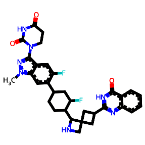 Cn1nc(N2CCC(=O)NC2=O)c2cc(F)c(C3CCC(C4NCC45CC(c4nc6ccccc6c(=O)[nH]4)C5)C(F)C3)cc21